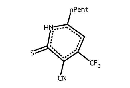 CCCCCc1cc(C(F)(F)F)c(C#N)c(=S)[nH]1